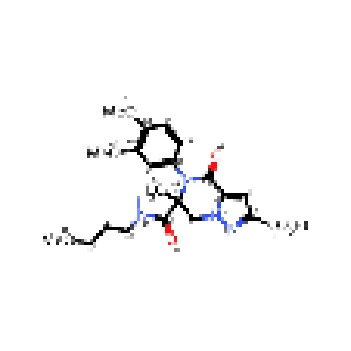 CCOC(=O)c1cc2n(n1)CC(C)(C(=O)NCCCOC)N(c1ccc(OC)c(OC)c1)C2=O